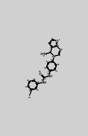 NC1c2ccoc2N=CN1c1ccc(NC(=O)Nc2cccc(F)c2)cc1